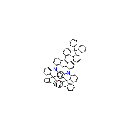 c1ccc(C2(c3ccccc3)c3ccccc3-c3c(-c4c5cccc(N6c7ccccc7C7(c8ccccc8-c8ccccc87)c7ccccc76)c5cc5c(N6c7ccccc7C7(c8ccccc8-c8ccccc87)c7ccccc76)cccc45)cccc32)cc1